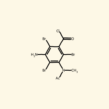 CC(=O)N(C)c1c(Br)c(N)c(Br)c(C(=O)Cl)c1Br